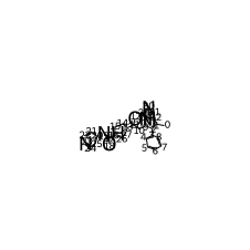 CC1=C(c2ccccc2)C(CC(O)C2CCC(C(=O)Nc3ccncc3)CC2)n2cncc21